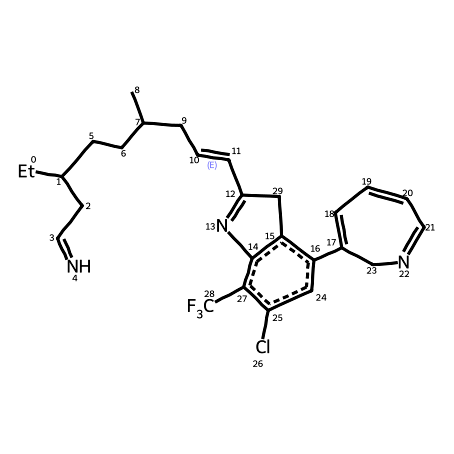 CCC(CC=N)CCC(C)C/C=C/C1=Nc2c(c(C3=CC=CC=NC3)cc(Cl)c2C(F)(F)F)C1